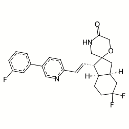 O=C1COC2(CN1)C[C@H]1CC(F)(F)CC[C@H]1[C@@H]2/C=C/c1ccc(-c2cccc(F)c2)cn1